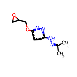 CC(C)=NNc1ccc(OCC2CO2)nn1